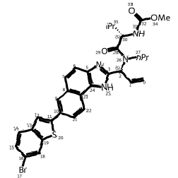 C=C[C@@H](c1nc2ccc3cc(-c4cc5ccc(Br)cc5s4)ccc3c2[nH]1)N(CCC)C(=O)[C@@H](NC(=O)OC)C(C)C